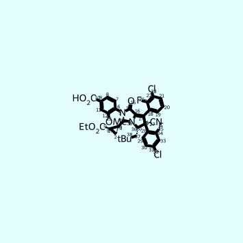 CCOC(=O)[C@@H]1C[C@H]1[C@@H]1N(c2ccc(C(=O)O)cc2OC)C(=O)C2=C(c3cccc(Cl)c3F)[C@@](C#N)(c3ccc(Cl)cc3F)[C@H](CC(C)(C)C)N21